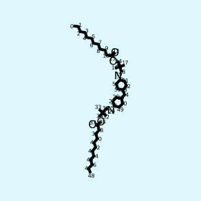 CCCCCCCCCCCC(=O)OCC(C)(C)C=NC1CCC(CC2CCC(N=CC(C)(C)COC(=O)CCCCCCCCCCC)CC2)CC1